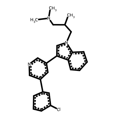 CC(CN(C)C)Cn1cc(-c2cncc(-c3cccc(Cl)c3)c2)c2ccccc21